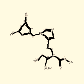 CCCCOC(=O)N(CCc1cncn1Cc1cc(Cl)cc(Cl)c1)C(CC(C)C)C(=O)O